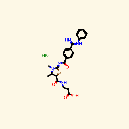 Br.CC1C(C(=O)NCCC(=O)O)SC(=NC(=O)c2ccc(C(=N)Nc3ccccc3)cc2)N1C